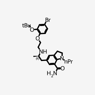 CCCN1CCc2cc(C[C@@H](C)NCCOc3ccc(Br)cc3OC(C)(C)C)cc(C(N)=O)c21